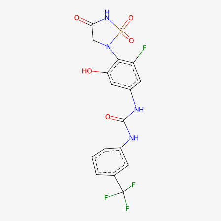 O=C1CN(c2c(O)cc(NC(=O)Nc3cccc(C(F)(F)F)c3)cc2F)S(=O)(=O)N1